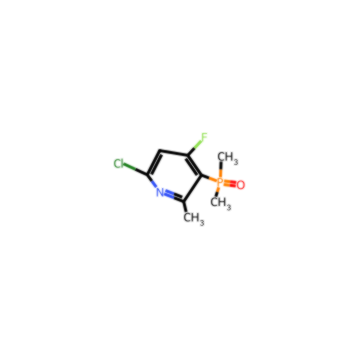 Cc1nc(Cl)cc(F)c1P(C)(C)=O